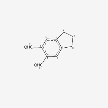 O=Cc1cc2c(cc1C=O)CCC2